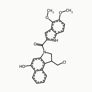 COc1ccc2[nH]c(C(=O)N3CC(CCl)c4c3cc(O)c3ccccc43)cc2c1OC